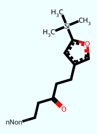 CCCCCCCCCCCC(=O)CCc1coc([Si](C)(C)C)c1